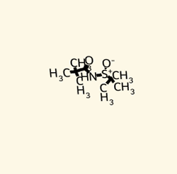 CC(C)(C)C(=O)N[S@@+]([O-])C(C)(C)C